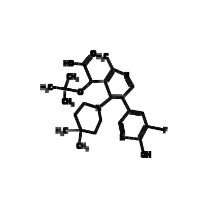 Cc1ncc(-c2cnc(O)c(F)c2)c(N2CCC(C)(C)CC2)c1C(OC(C)(C)C)C(=O)O